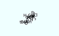 CC(C)(CNC(=O)c1ccc(NC(=O)OC(C)(C)C)cc1)CNc1ncc(Cl)c(C2=CCc3ccccc32)n1